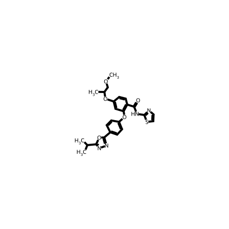 COCC(C)Oc1ccc(C(=O)Nc2nccs2)c(Oc2ccc(-c3nnc(C(C)C)o3)cc2)c1